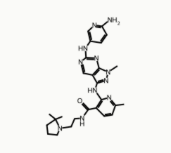 Cc1ccc(C(=O)NCCN2CCCC2(C)C)c(Nc2nn(C)c3nc(Nc4ccc(N)nc4)ncc23)n1